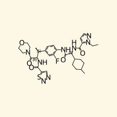 CCn1nccc1C(=O)N[C@H](C(=O)Nc1ccc([C@H](C)[C@@H](NC(=O)c2cnns2)C(=O)N2CCOCC2)cc1F)C1CCC(C)CC1